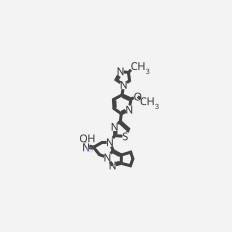 COc1nc(-c2csc(N3C/C(=N\O)Cn4nc5c(c43)CCC5)n2)ccc1N1C=NC(C)C1